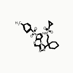 Cc1ccc(S(=O)(=O)n2ccc3c2ncc2nnc(C4(CCNS(=O)(=O)C5CC5)CCCCC4)n23)cc1